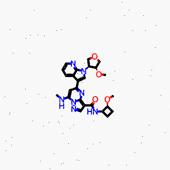 CNc1cc(-c2cn([C@H]3COC[C@@H]3OC)c3ncccc23)nc2c(C(=O)NC3CC[C@@H]3OC)cnn12